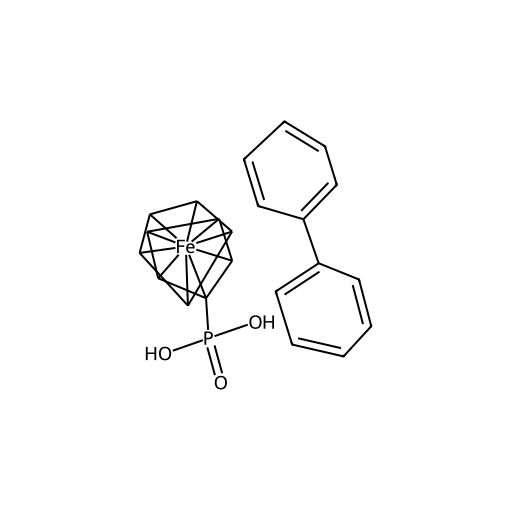 O=P(O)(O)[C]12[CH]3[CH]4[CH]5[CH]1[Fe]45321678[CH]2[CH]1[CH]6[CH]7[CH]28.c1ccc(-c2ccccc2)cc1